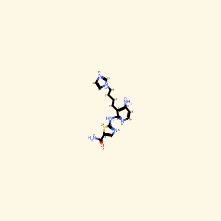 NC(=O)c1cnc(Nc2nccc(N)c2CCCCn2ccnc2)s1